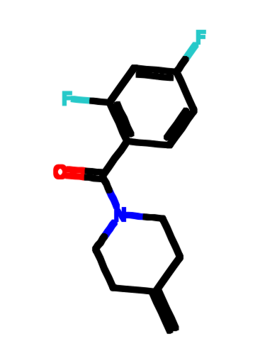 C=C1CCN(C(=O)c2ccc(F)cc2F)CC1